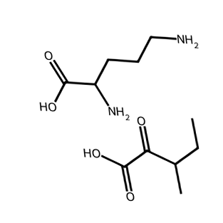 CCC(C)C(=O)C(=O)O.NCCCC(N)C(=O)O